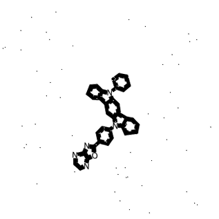 c1ccc(-n2c3ccccc3c3cc4c(cc32)c2ccccc2n4-c2ccc(-c3nc4nccnc4o3)cc2)cc1